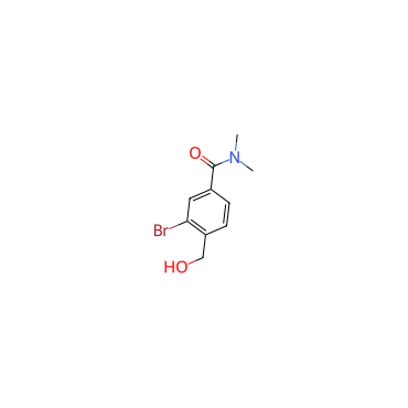 CN(C)C(=O)c1ccc(CO)c(Br)c1